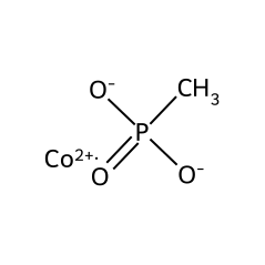 CP(=O)([O-])[O-].[Co+2]